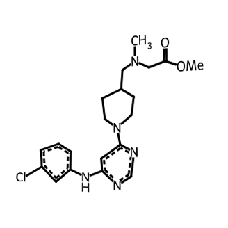 COC(=O)CN(C)CC1CCN(c2cc(Nc3cccc(Cl)c3)ncn2)CC1